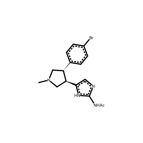 CC(=O)Nc1ncc([C@H]2CN(C)C[C@@H]2c2ccc(Br)cc2)[nH]1